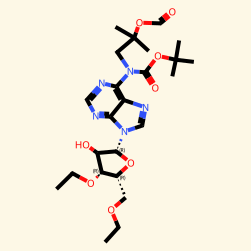 CCOC[C@H]1O[C@@H](n2cnc3c(N(CC(C)(C)OC=O)C(=O)OC(C)(C)C)ncnc32)C(O)[C@H]1OCC